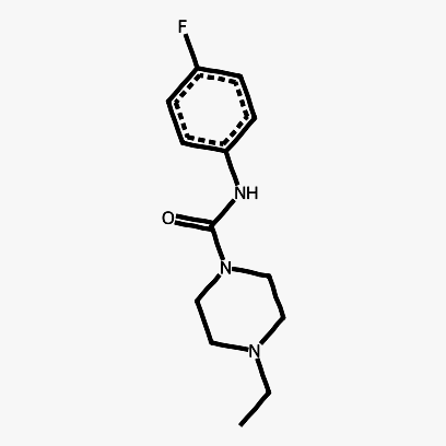 CCN1CCN(C(=O)Nc2ccc(F)cc2)CC1